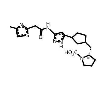 Cc1csc(CC(=O)Nc2cc(C3CCC(C[C@@H]4CCCN4C(=O)O)C3)[nH]n2)n1